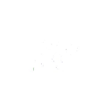 Nc1nc(-c2ccccc2)c2c(n1)-c1c(cccc1-c1ccc(F)nc1)C2=O